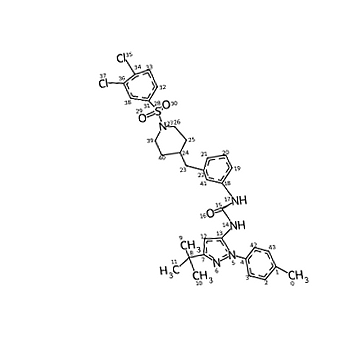 Cc1ccc(-n2nc(C(C)(C)C)cc2NC(=O)Nc2cccc(CC3CCN(S(=O)(=O)c4ccc(Cl)c(Cl)c4)CC3)c2)cc1